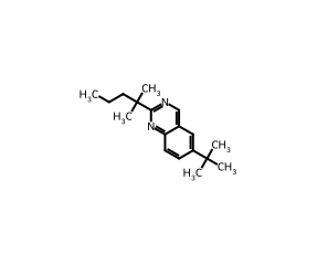 CCCC(C)(C)c1ncc2cc(C(C)(C)C)ccc2n1